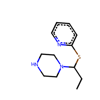 CCC(Sc1ccccn1)N1CCNCC1